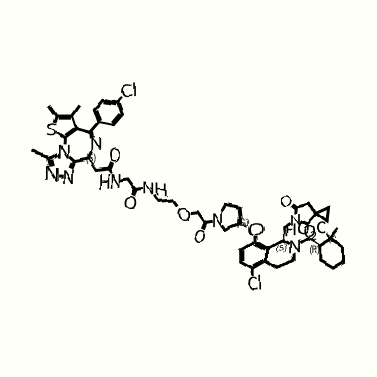 Cc1sc2c(c1C)C(c1ccc(Cl)cc1)=N[C@@H](CC(=O)NCC(=O)NCCOCC(=O)N1CC[C@H](Oc3ccc(Cl)c4c3[C@@H](CN3CC5(CC5)CC3=O)N(C(=O)[C@@H]3CCCC[C@]3(C)C(=O)O)CC4)C1)c1nnc(C)n1-2